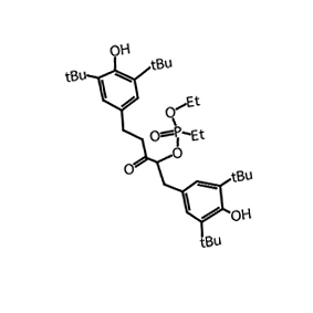 CCOP(=O)(CC)OC(Cc1cc(C(C)(C)C)c(O)c(C(C)(C)C)c1)C(=O)CCc1cc(C(C)(C)C)c(O)c(C(C)(C)C)c1